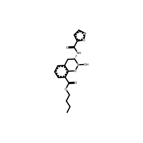 CCCCOC(=O)c1cccc2c1OB(O)[C@@H](NC(=O)c1ccno1)C2